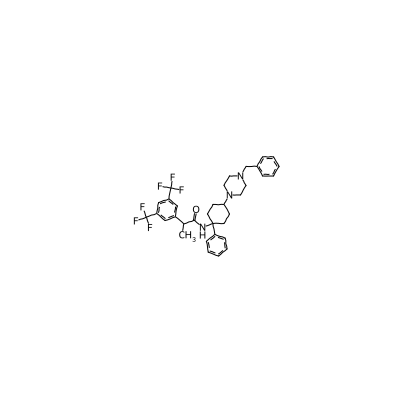 CC(C(=O)NC1(c2ccccc2)CCC(N2CCN(Cc3ccccc3)CC2)CC1)c1cc(C(F)(F)F)cc(C(F)(F)F)c1